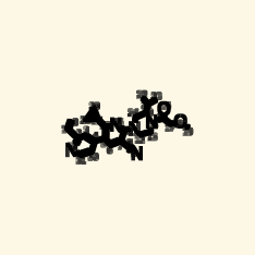 C=Cc1cc(-c2cc(C#N)c(N3CCN(C(=O)COC)C(C(C)C)C3)nc2C2CC2)ccn1